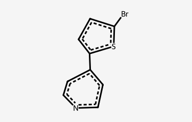 Brc1ccc(-c2ccncc2)s1